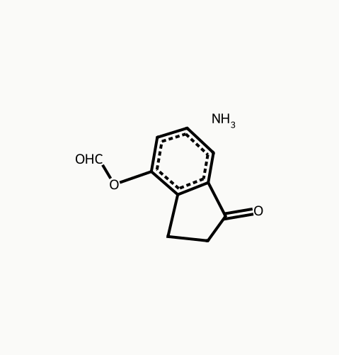 N.O=COc1cccc2c1CCC2=O